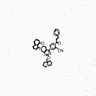 N#CC[C@H]1CN(c2nc(OCC34CCCN3CCC4)nc3c2CCN(c2cccc4cccc(Cl)c24)C3)CCN1C(=O)/C=C/c1cnccn1